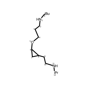 CCC(C)NCCCOC1CC1CCNC(C)C